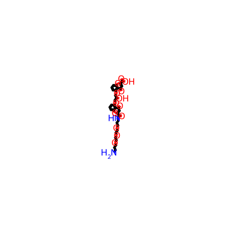 NCCCOCCOCCOCCCNC(=O)c1cc(=O)c2c(OCC(O)COc3cccc4oc(C(=O)O)cc(=O)c34)cccc2o1